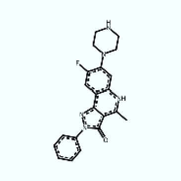 Cc1[nH]c2cc(N3CCNCC3)c(F)cc2c2nn(-c3ccccc3)c(=O)c1-2